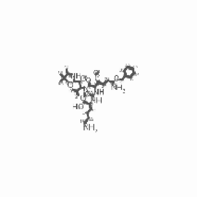 CC(C)C(NC(=O)C(NC(=O)NC(CCCCN)C(=O)O)C(=C=O)CCC(N)OCc1ccccc1)C(=O)C(=O)NC(C)C(C)(C)C